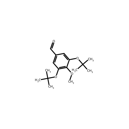 COc1c(OC(C)(C)C)cc(C=O)cc1OC(C)(C)C